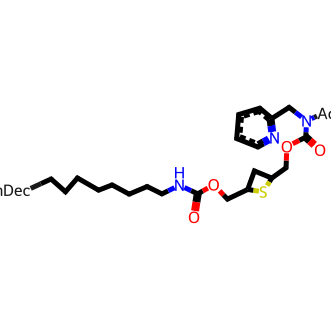 CCCCCCCCCCCCCCCCCCNC(=O)OCC1CC(COC(=O)N(Cc2ccccn2)C(C)=O)S1